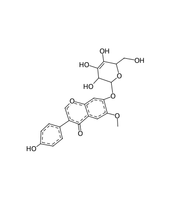 COc1cc2c(=O)c(-c3ccc(O)cc3)coc2cc1OC1OC(CO)C(O)=C(O)C1O